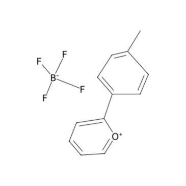 Cc1ccc(-c2cccc[o+]2)cc1.F[B-](F)(F)F